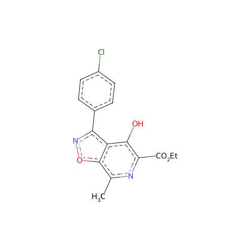 CCOC(=O)c1nc(C)c2onc(-c3ccc(Cl)cc3)c2c1O